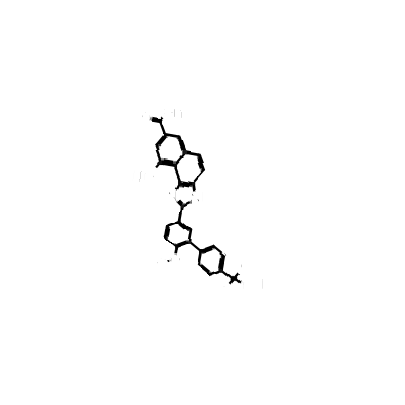 COc1ccc(-c2nc3c(ccc4cc(C(=O)O)cc(O)c43)[nH]2)cc1-c1ccc(C(C)(C)C)cc1